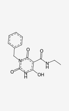 CCNC(=O)c1c(O)[nH]c(=O)n(Cc2ccccc2)c1=O